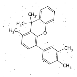 Cc1ccc(-c2ccc(C)c3c2Oc2ccccc2C3(C)C)cc1C